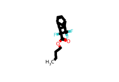 CCCCOC(=O)C1(F)C2C3C=CC(C3)C2C1(F)F